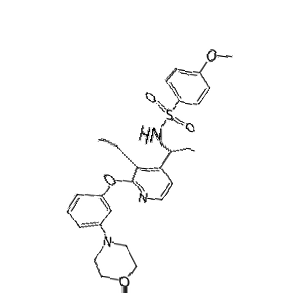 CCc1c(C(C)NS(=O)(=O)c2ccc(OC)cc2)ccnc1Oc1cccc(N2CCOCC2)c1